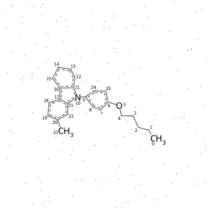 CCCCCOc1ccc(-n2c3ccccc3c3ccc(C)cc32)cc1